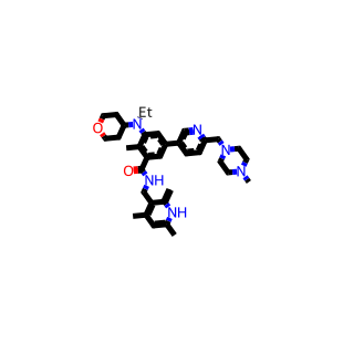 C=C1NC(C)=CC(C)=C1CNC(=O)c1cc(-c2ccc(CN3CCN(C)CC3)nc2)cc(N(CC)C2CCOCC2)c1C